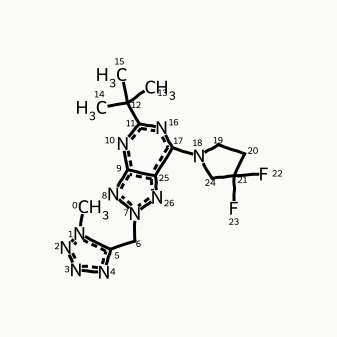 Cn1nnnc1Cn1nc2nc(C(C)(C)C)nc(N3CCC(F)(F)C3)c2n1